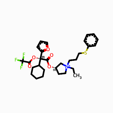 CC[N+]1(CCCSc2ccccc2)CC[C@H](OC(=O)[C@](OC(=O)C(F)(F)F)(c2ccco2)C2CCCCC2)C1